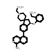 CCOC(=O)CN1CCC2(CC1)C[C@@H](Oc1ccccc1CC(=O)O)c1cc(-c3cccc4c(N)nccc34)ccc12